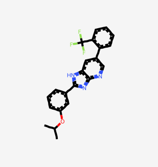 CC(C)Oc1cccc(-c2nc3ncc(-c4ccccc4C(F)(F)F)cc3[nH]2)c1